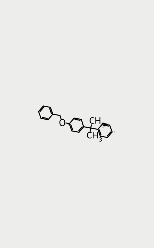 CC(C)(c1cc[c]cc1)c1ccc(OCc2ccccc2)cc1